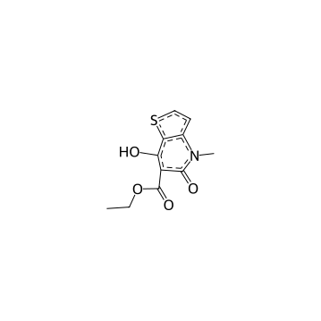 CCOC(=O)c1c(O)c2sccc2n(C)c1=O